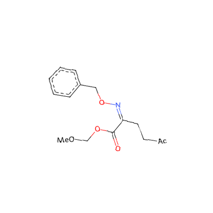 COCOC(=O)C(CCC(C)=O)=NOCc1ccccc1